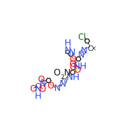 CN(CCOc1cccc2c1CN(C1CCC(=O)NC1=O)C2=O)CCN1CCC(CNc2ccc(S(=O)(=O)NC(=O)c3ccc(N4CCN(CC5=C(c6ccc(Cl)cc6)CC(C)(C)CC5)CC4)cc3Oc3cnc4[nH]ccc4c3)cc2[N+](=O)[O-])CC1